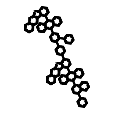 c1ccc(-c2cc(-c3c4ccccc4c(-c4cccc5sc6cc7ccccc7cc6c45)c4ccccc34)ccc2-c2ccc(-c3ccc(-c4c5ccccc5c(-c5ccc(-c6ccccc6)c6ccccc56)c5ccccc45)c4c3sc3cc5ccccc5cc34)cc2)cc1